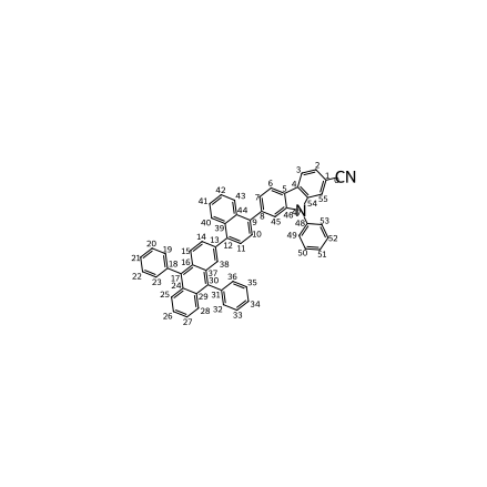 N#Cc1ccc2c3ccc(-c4ccc(-c5ccc6c(-c7ccccc7)c7ccccc7c(-c7ccccc7)c6c5)c5ccccc45)cc3n(-c3ccccc3)c2c1